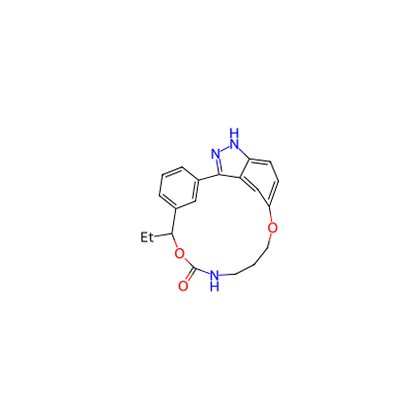 CCC1OC(=O)NCCCOc2ccc3[nH]nc(c3c2)-c2cccc1c2